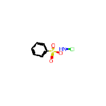 O=S(=O)(ONCl)c1ccccc1